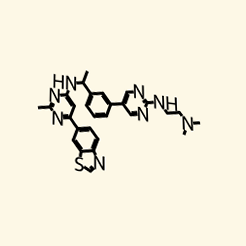 Cc1nc(NC(C)c2cccc(-c3cnc(NCCN(C)C)nc3)c2)cc(-c2ccc3ncsc3c2)n1